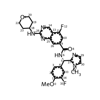 COc1ccc([C@H](NC(=O)c2cc(F)c3cnc(NC4CCOCC4)nc3c2)c2nccn2C)cc1F